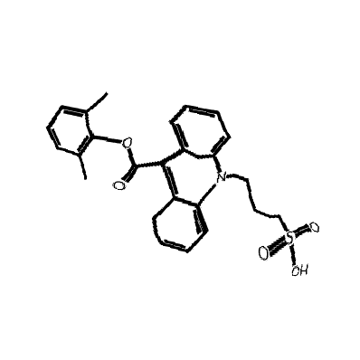 Cc1cccc(C)c1OC(=O)C1=C2CC=CC=C2N(CCCS(=O)(=O)O)c2ccccc21